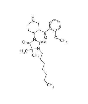 CCCCCCCN1C(=S)N(N2CCNCC2C(=O)c2ccccc2OC)C(=O)C1(C)C